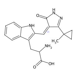 CC1(C2=NNC(=O)/C2=C\c2[nH]c3ccccc3c2CC(N)C(=O)O)CC1